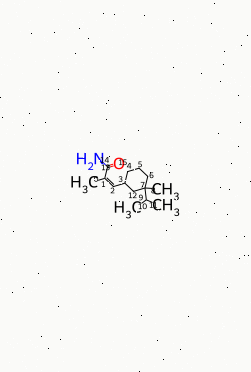 CC(=CC1CCCC(C)(C(C)C)C1)C(N)=O